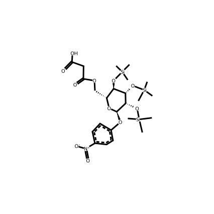 C[Si](C)(C)O[C@@H]1[C@H](O[Si](C)(C)C)[C@@H](Oc2ccc([N+](=O)[O-])cc2)O[C@H](COC(=O)CC(=O)O)[C@H]1O[Si](C)(C)C